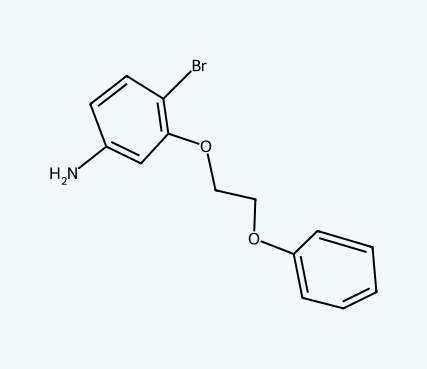 Nc1ccc(Br)c(OCCOc2ccccc2)c1